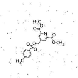 COC(=O)c1cc(COS(=O)(=O)c2ccc(C)cc2)cc(C(=O)OC)n1